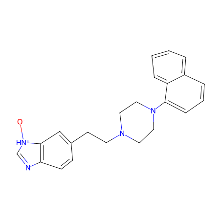 [O-][NH+]1C=Nc2ccc(CCN3CCN(c4cccc5ccccc45)CC3)cc21